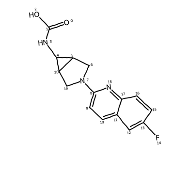 O=C(O)NC1C2CN(c3ccc4cc(F)ccc4n3)CC21